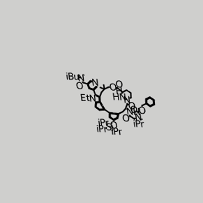 CCC(C)N(C)C(=O)c1cncc(-c2c3c4cc(ccc4n2CC)-c2cc(cc(O[Si](C(C)C)(C(C)C)C(C)C)c2)C[C@H](NC(=O)[C@H](C(C)C)N(C)C(=O)OCc2ccccc2)C(=O)N2CCC[C@H](N2)C(=O)OCC(C)(C)C3)c1